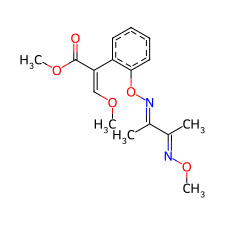 CO/C=C(/C(=O)OC)c1ccccc1O/N=C(C)/C(C)=N/OC